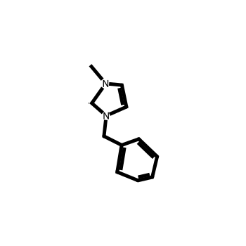 CN1[CH]N(Cc2ccccc2)C=C1